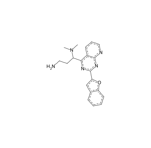 CN(C)C(CCN)c1nc(-c2cc3ccccc3o2)nc2ncccc12